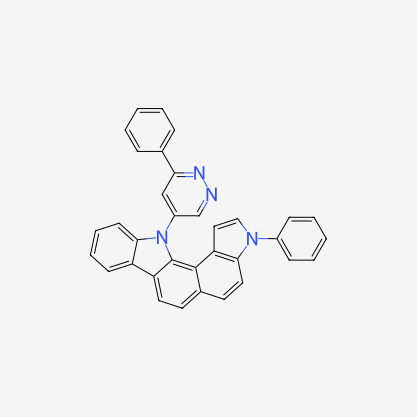 c1ccc(-c2cc(-n3c4ccccc4c4ccc5ccc6c(ccn6-c6ccccc6)c5c43)cnn2)cc1